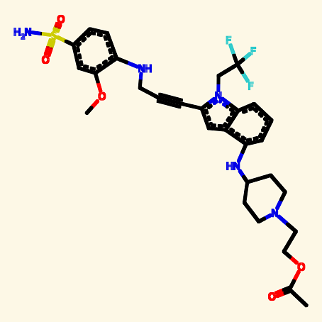 COc1cc(S(N)(=O)=O)ccc1NCC#Cc1cc2c(NC3CCN(CCOC(C)=O)CC3)cccc2n1CC(F)(F)F